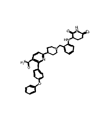 NC(=O)c1ccc(C2CCN(Cc3ccccc3NC3CCC(=O)NC3=O)CC2)nc1-c1ccc(Oc2ccccc2)cc1